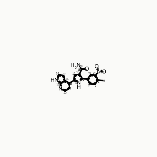 Cc1ccc(-c2[nH]c(-c3ccnc4[nH]ccc34)cc2C(N)=O)cc1[N+](=O)[O-]